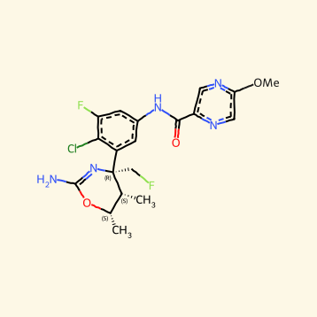 COc1cnc(C(=O)Nc2cc(F)c(Cl)c([C@]3(CF)N=C(N)O[C@@H](C)[C@H]3C)c2)cn1